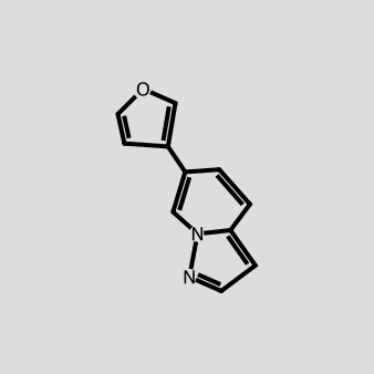 c1cc2ccc(-c3ccoc3)cn2n1